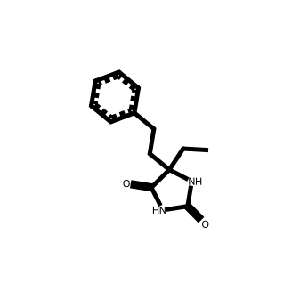 CCC1(CCc2ccccc2)NC(=O)NC1=O